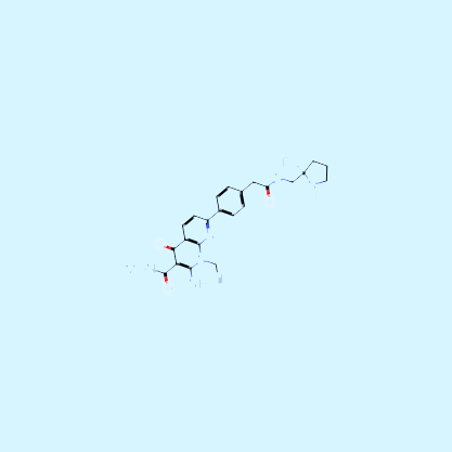 CC[C@@]1(CNC(=O)Cc2ccc(-c3ccc4c(=O)c(C(=O)NC)c(N)n(CC(C)C)c4n3)cc2)CCCN1